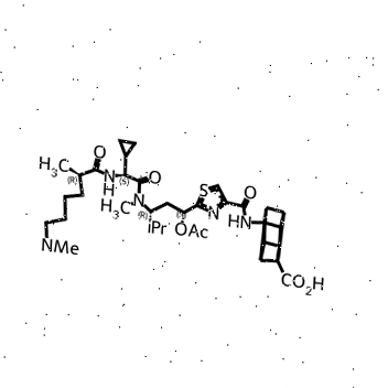 CNCCCC[C@@H](C)C(=O)N[C@H](C(=O)N(C)[C@H](C[C@@H](OC(C)=O)c1nc(C(=O)NC23C4C5C2C2C3C4C52C(=O)O)cs1)C(C)C)C1CC1